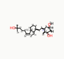 [2H]O[C@]1([2H])C/C(=C/C=C2CCC[C@@]3(C)C2CC[C@@H]3[C@H](C)CCCC(C)(C)O)C(=C)[C@H](O)C1[2H]